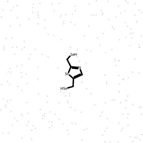 [SeH]Cc1cnc(C[SeH])[se]1